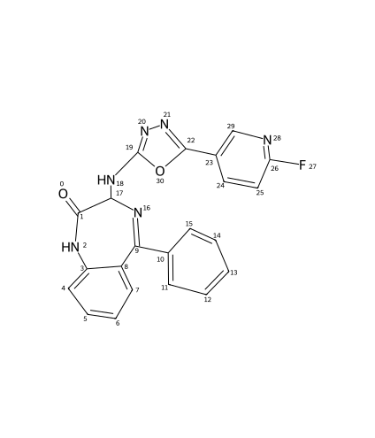 O=C1Nc2ccccc2C(c2ccccc2)=NC1Nc1nnc(-c2ccc(F)nc2)o1